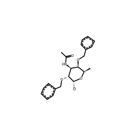 CC(=O)N[C@H]1[C@@H](OCc2ccccc2)[C@@H](C)O[C@H](Cl)[C@@H]1OCc1ccccc1